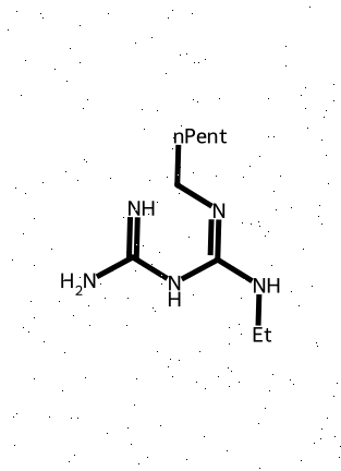 CCCCCC/N=C(/NCC)NC(=N)N